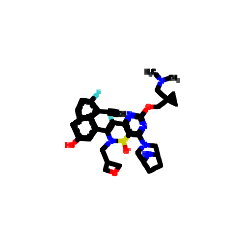 C#Cc1c(F)ccc2cc(O)cc(C3=C(F)c4nc(OCC5(CN(C)C)CC5)nc(N5CC6CCC(C5)N6)c4[S+]([O-])N3CC3COC3)c12